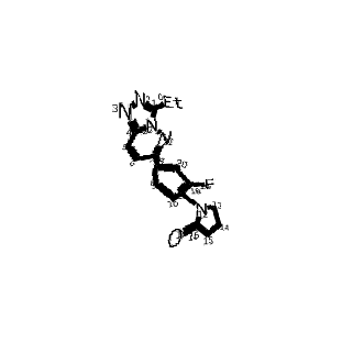 CCc1nnc2ccc(-c3ccc(N4CCCC4=O)c(F)c3)nn12